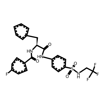 O=C(N[C@@H](Cc1ccccc1)C(=O)Nc1ccc(S(=O)(=O)NCC(F)(F)F)cc1)c1ccc(F)cc1